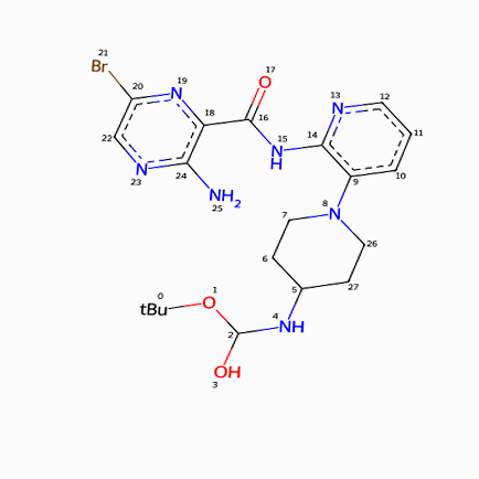 CC(C)(C)OC(O)NC1CCN(c2cccnc2NC(=O)c2nc(Br)cnc2N)CC1